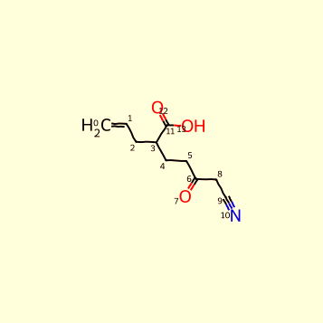 C=CCC(CCC(=O)CC#N)C(=O)O